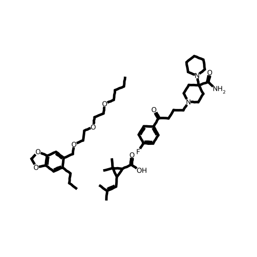 CC(C)=CC1C(C(=O)O)C1(C)C.CCCCOCCOCCOCc1cc2c(cc1CCC)OCO2.NC(=O)C1(N2CCCCC2)CCN(CCCC(=O)c2ccc(F)cc2)CC1